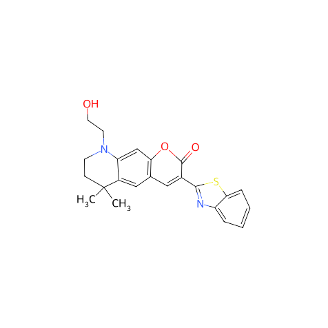 CC1(C)CCN(CCO)c2cc3oc(=O)c(-c4nc5ccccc5s4)cc3cc21